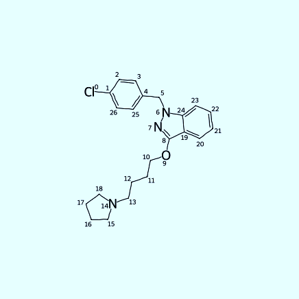 Clc1ccc(Cn2nc(OCCCCN3CCCC3)c3ccccc32)cc1